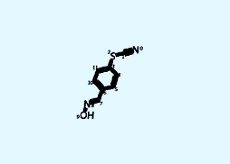 N#CSc1ccc(C=NO)cc1